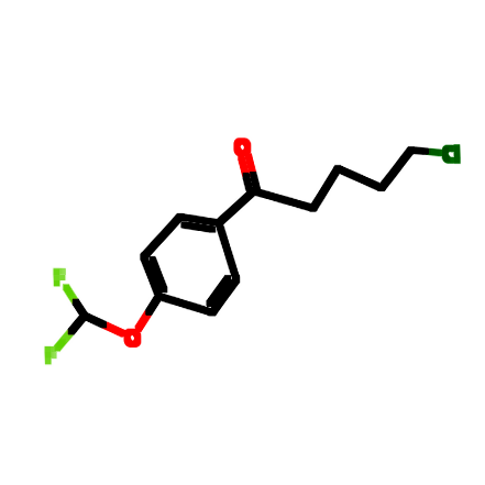 O=C(CCCCCl)c1ccc(OC(F)F)cc1